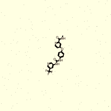 CNC(=O)c1cc(Oc2ccc(NC(=O)Nc3cncc(C(F)(F)F)c3)cc2)ccn1